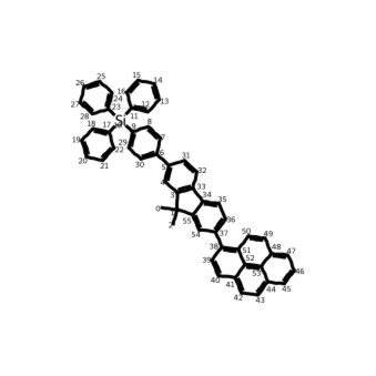 CC1(C)c2cc(-c3ccc([Si](c4ccccc4)(c4ccccc4)c4ccccc4)cc3)ccc2-c2ccc(-c3ccc4ccc5cccc6ccc3c4c56)cc21